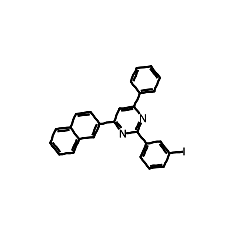 Ic1cccc(-c2nc(-c3ccccc3)cc(-c3ccc4ccccc4c3)n2)c1